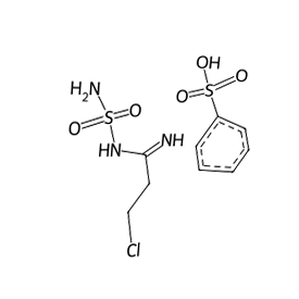 N=C(CCCl)NS(N)(=O)=O.O=S(=O)(O)c1ccccc1